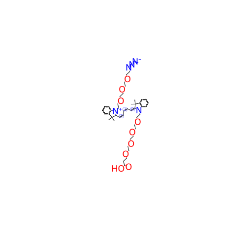 CC1(C)C(\C=C/C=C\C=C2\N(CCOCCOCCOCCOCCC(=O)O)c3ccccc3C2(C)C)=[N+](CCOCCOCCOCCN=[N+]=[N-])c2ccccc21